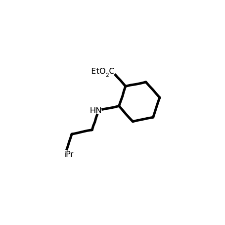 CCOC(=O)C1CCCCC1NCCC(C)C